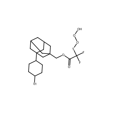 CCC1CCC(C23CC4CC(CC(COC(=O)C(F)(F)SOOO)(C4)C2)C3)CC1